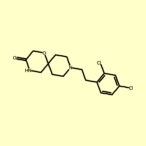 O=C1COC2(CCN(CCc3ccc(Cl)cc3Cl)CC2)CN1